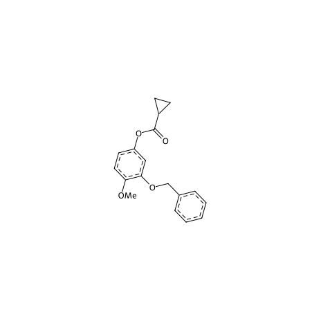 COc1ccc(OC(=O)C2CC2)cc1OCc1ccccc1